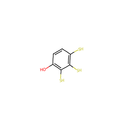 Oc1ccc(S)c(S)c1S